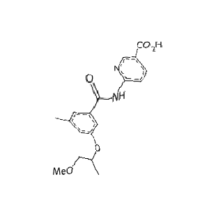 COCC(C)Oc1cc(C)cc(C(=O)Nc2ccc(C(=O)O)cn2)c1